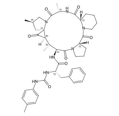 Cc1ccc(NC(=O)N[C@@H](Cc2ccccc2)C(=O)N[C@@H]2C(=O)N3CCC[C@H]3C(=O)N3CCCC[C@H]3C(=O)N[C@@H](C)C(=O)N3C[C@H](C)C[C@]34C(=O)[C@@H]4[C@H]2C)cc1